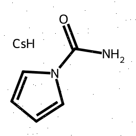 NC(=O)n1cccc1.[CsH]